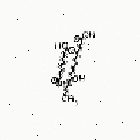 CCCCCCC(O)CCCCCCCCCCC(=O)O.O=C(O)CCCCCCCCC(=O)O